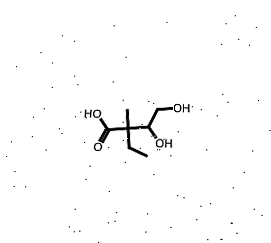 CCC(C)(C(=O)O)C(O)CO